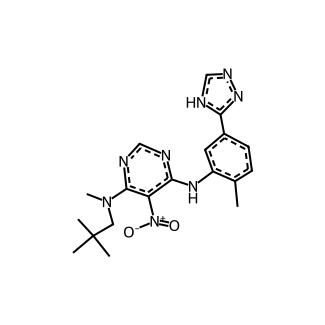 Cc1ccc(-c2nnc[nH]2)cc1Nc1ncnc(N(C)CC(C)(C)C)c1[N+](=O)[O-]